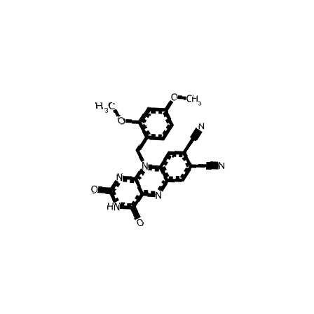 COc1ccc(Cn2c3nc(=O)[nH]c(=O)c-3nc3cc(C#N)c(C#N)cc32)c(OC)c1